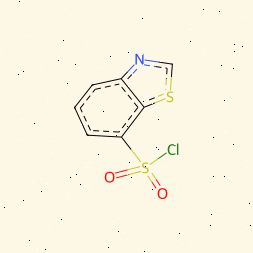 O=S(=O)(Cl)c1cccc2ncsc12